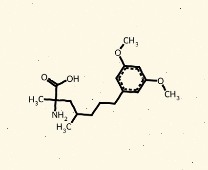 COc1cc(CCCC(C)CC(C)(N)C(=O)O)cc(OC)c1